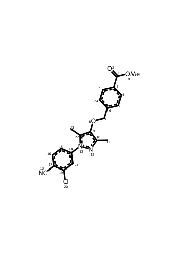 COC(=O)c1ccc(COc2c(C)nn(-c3ccc(C#N)c(Cl)c3)c2C)cc1